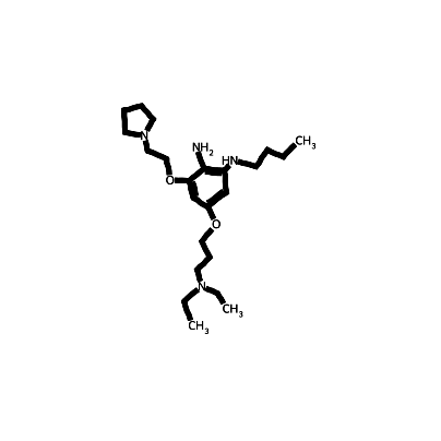 CCCCNc1cc(OCCCN(CC)CC)cc(OCCN2CCCC2)c1N